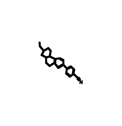 CCC1CCC2c3ccc(-c4ccc(C#N)cc4)cc3CCC2C1